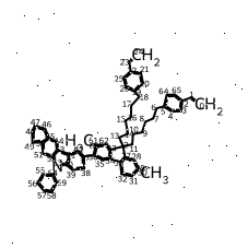 C=Cc1ccc(CCCCCCC2(CCCCCCc3ccc(C=C)cc3)c3cc(C)ccc3-c3cc(-c4ccc5c(c4)c4cc6ccccc6cc4n5-c4ccccc4)c(C)cc32)cc1